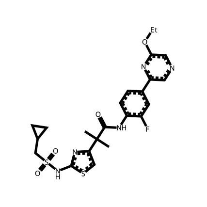 CCOc1cncc(-c2ccc(NC(=O)C(C)(C)c3csc(NS(=O)(=O)CC4CC4)n3)c(F)c2)n1